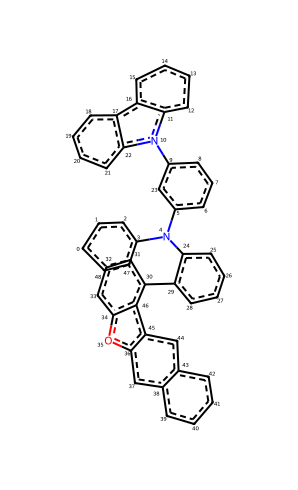 c1ccc(N(c2cccc(-n3c4ccccc4c4ccccc43)c2)c2ccccc2-c2cccc3oc4cc5ccccc5cc4c23)cc1